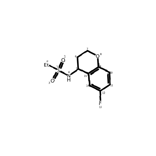 CCS(=O)(=O)NC1CCOc2ccc(F)cc21